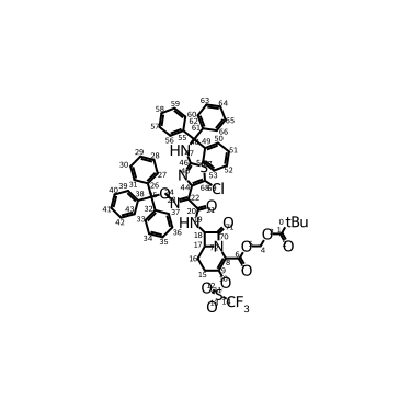 CC(C)(C)C(=O)OCOC(=O)C1=C(OS(=O)(=O)C(F)(F)F)CCC2C(NC(=O)C(=NOC(c3ccccc3)(c3ccccc3)c3ccccc3)c3nc(NC(c4ccccc4)(c4ccccc4)c4ccccc4)sc3Cl)C(=O)N12